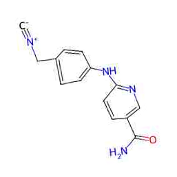 [C-]#[N+]Cc1ccc(Nc2ccc(C(N)=O)cn2)cc1